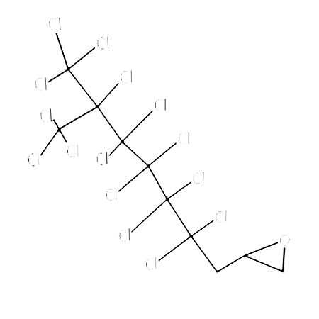 ClC(Cl)(Cl)C(Cl)(C(Cl)(Cl)Cl)C(Cl)(Cl)C(Cl)(Cl)C(Cl)(Cl)C(Cl)(Cl)CC1CO1